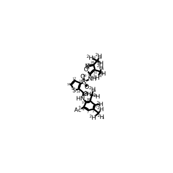 [2H]c1c(C([2H])([2H])[2H])cc(C(C)=O)c(NC(=O)c2sccc2S(=O)(=O)Nc2onc(C([2H])([2H])[2H])c2C([2H])([2H])[2H])c1C([2H])([2H])[2H]